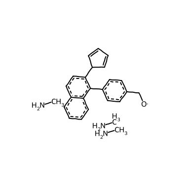 CN.CN.CN.[O]Cc1ccc(-c2c(C3C=CC=C3)ccc3ccccc23)cc1